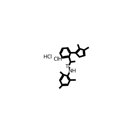 CC1=CCC(c2ccccc2[CH](C)[Ti][NH]c2c(C)cc(C)cc2C)=C1C.Cl.Cl